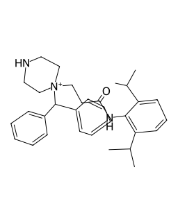 CC(C)c1cccc(C(C)C)c1NC(=O)CC[N+]1(C(c2ccccc2)c2ccccc2)CCNCC1